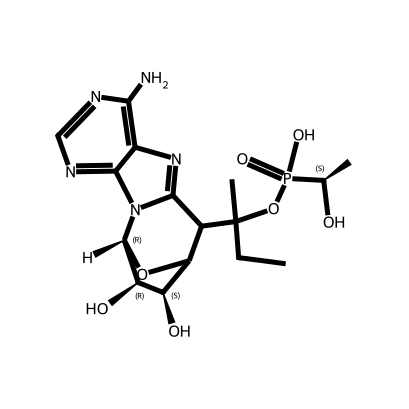 CCC(C)(OP(=O)(O)[C@@H](C)O)C1c2nc3c(N)ncnc3n2[C@@H]2OC1[C@@H](O)[C@H]2O